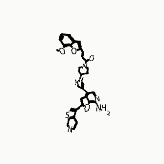 COc1cccc2cc(C=CC(=O)N3CCC(n4cc(-c5cnc(N)c6oc(-c7csc8cnccc78)cc56)cn4)CC3)oc12